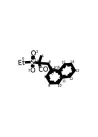 CCS(=O)(=O)C(C)(Cc1cccc2ccccc12)C(=O)O